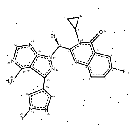 CC[C@@H](c1nc2ccc(F)cc2c(=O)n1C1CC1)n1nc(-c2cnn(C(C)C)c2)c2c(N)ncnc21